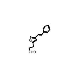 O=CCCc1cc(/C=C/c2ccccc2)no1